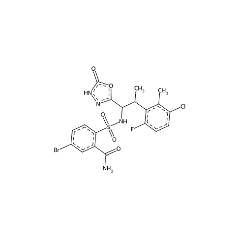 Cc1c(Cl)ccc(F)c1C(C)C(NS(=O)(=O)c1ccc(Br)cc1C(N)=O)c1n[nH]c(=O)o1